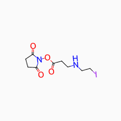 O=C(CCNCCI)ON1C(=O)CCC1=O